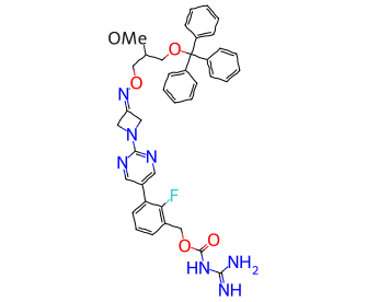 COC(CON=C1CN(c2ncc(-c3cccc(COC(=O)NC(=N)N)c3F)cn2)C1)COC(c1ccccc1)(c1ccccc1)c1ccccc1